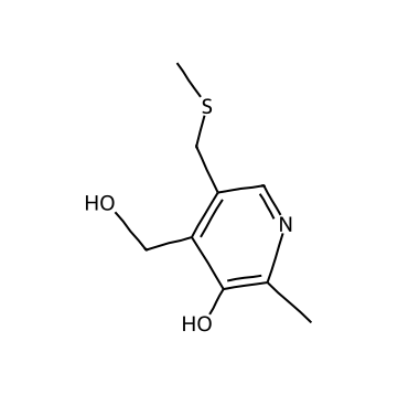 CSCc1cnc(C)c(O)c1CO